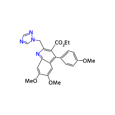 CCOC(=O)c1c(Cn2cncn2)nc2cc(OC)c(OC)cc2c1-c1ccc(OC)cc1